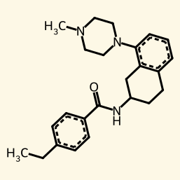 CCc1ccc(C(=O)NC2CCc3cccc(N4CCN(C)CC4)c3C2)cc1